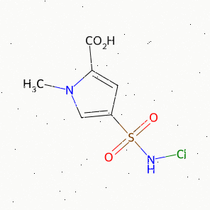 Cn1cc(S(=O)(=O)NCl)cc1C(=O)O